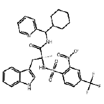 C[C@@](Cc1c[nH]c2ccccc12)(NS(=O)(=O)c1ccc(C(F)(F)F)cc1[N+](=O)[O-])C(=O)NC(c1ccccn1)C1CCCCC1